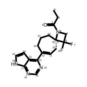 CCC(=O)N1CC(F)(F)[C@]12CC=C(c1ncnc3[nH]ccc13)CCC2